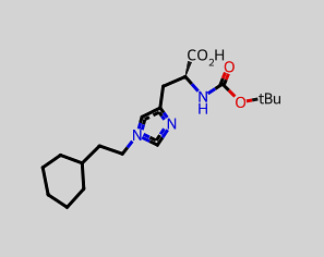 CC(C)(C)OC(=O)N[C@@H](Cc1cn(CCC2CCCCC2)cn1)C(=O)O